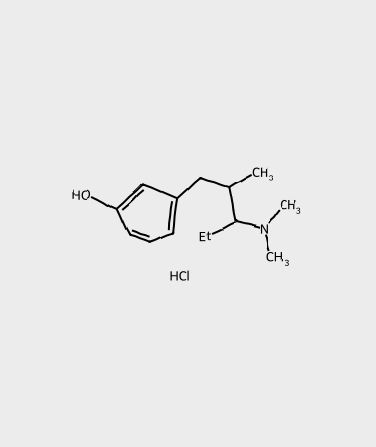 CCC(C(C)Cc1cccc(O)c1)N(C)C.Cl